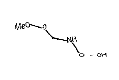 COOCNOO